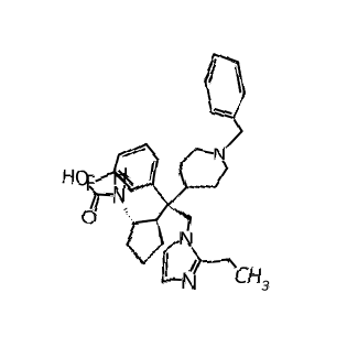 CCc1nccn1C[C@@](c1cccc(F)c1)(C1CCN(Cc2ccccc2)CC1)[C@H]1CCC[C@@H]1NC(=O)O